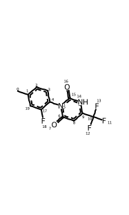 Cc1ccc(-n2c(=O)cc(C(F)(F)F)[nH]c2=O)c(F)c1